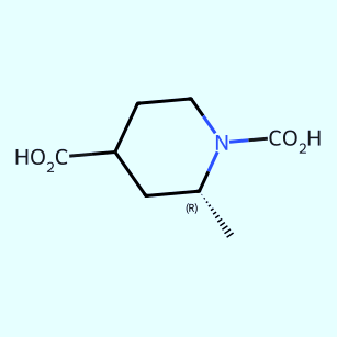 C[C@@H]1CC(C(=O)O)CCN1C(=O)O